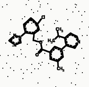 Cc1cc(C(=O)OCc2cc(Cl)ccc2-n2cncn2)cc(-c2cnccc2C(C)C)c1